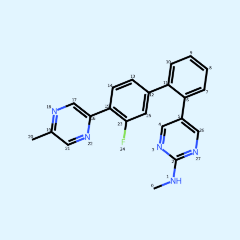 CNc1ncc(-c2ccccc2-c2ccc(-c3cnc(C)cn3)c(F)c2)cn1